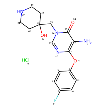 Cl.Nc1c(Oc2ccc(F)cc2)ncn(CC2(O)CCNCC2)c1=O